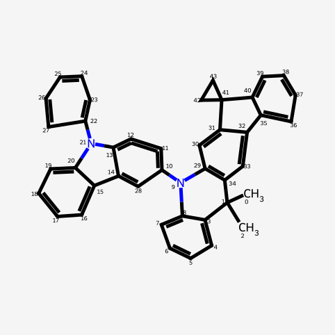 CC1(C)c2ccccc2N(C2=C=C=c3c(c4ccccc4n3-c3ccccc3)=C2)c2cc3c(cc21)-c1ccccc1C31CC1